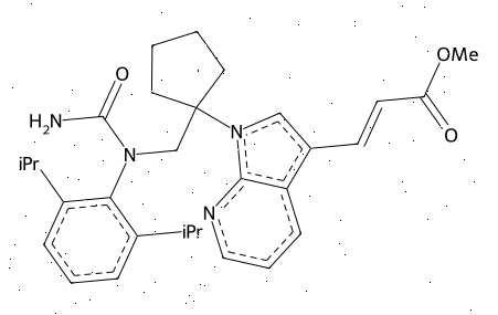 COC(=O)C=Cc1cn(C2(CN(C(N)=O)c3c(C(C)C)cccc3C(C)C)CCCC2)c2ncccc12